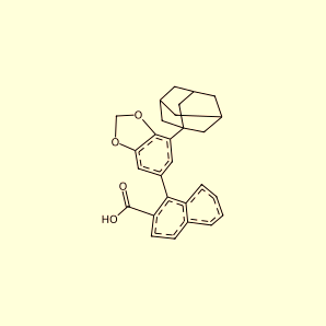 O=C(O)c1ccc2ccccc2c1-c1cc2c(c(C34CC5CC(CC(C5)C3)C4)c1)OCO2